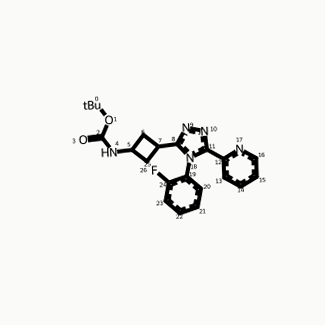 CC(C)(C)OC(=O)NC1CC(c2nnc(-c3ccccn3)n2-c2ccccc2F)C1